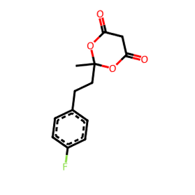 CC1(CCc2ccc(F)cc2)OC(=O)CC(=O)O1